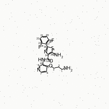 NCCCOc1ccncc1NC(=O)c1nc(-c2c(F)cccc2F)sc1N